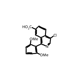 COc1cccc(OC)c1-c1ncc(Cl)c2ccc(C(=O)O)cc12